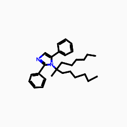 CCCCCCC(C)(CCCCCC)n1c(-c2ccccc2)cnc1-c1ccccc1